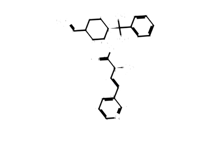 C=CC1CC[C@@H](C(C)(C)c2ccccc2)[C@H](OC(=O)[C@@H](O)/C=C/c2cccnc2)C1